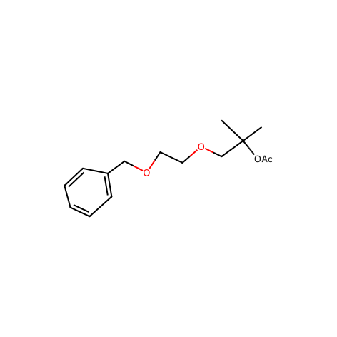 CC(=O)OC(C)(C)COCCOCc1ccccc1